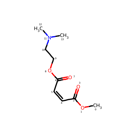 COC(=O)/C=C\C(=O)OCCN(C)C